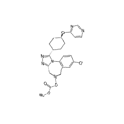 CC(C)(C)OC(=O)ON1Cc2cc(Cl)ccc2-n2c(nnc2[C@H]2CC[C@H](Oc3ccncn3)CC2)C1